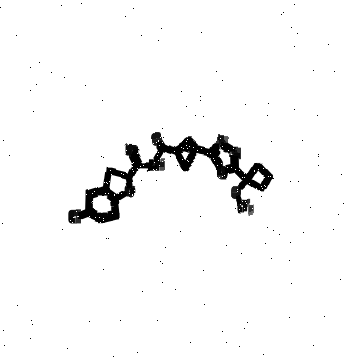 O=C(NC(=O)C12CC(c3nnc(C4(OC(F)(F)F)CCC4)o3)(C1)C2)C1Cc2cc(Cl)ccc2O1